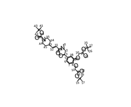 CN(CC(=O)c1ccc(OCC(=O)OC(C)(C)C)c(OCC(=O)OC(C)(C)C)c1)C(=O)C=CC1CCN(C(=O)OC(C)(C)C)CC1